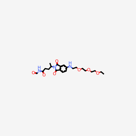 CCOCCOCCOCCNc1ccc2c(c1)C(=O)N(C(C)CCC(=O)NC=O)C2=O